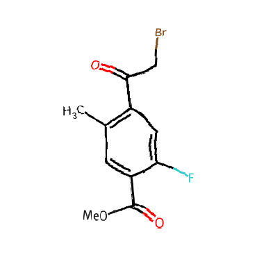 COC(=O)c1cc(C)c(C(=O)CBr)cc1F